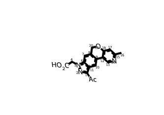 CC(=O)c1nn(CC(=O)O)c2cc3c(cc12)-c1cnc(C)cc1OC3